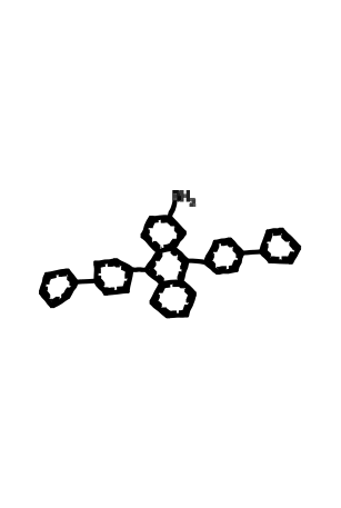 Bc1ccc2c(-c3ccc(-c4ccccc4)cc3)c3ccccc3c(-c3ccc(-c4ccccc4)cc3)c2c1